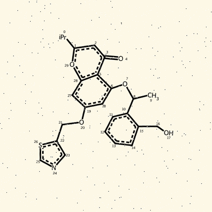 CC(C)c1cc(=O)c2c(OC(C)c3ccccc3CO)cc(OCc3cncs3)cc2o1